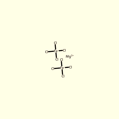 [Cl][Fe-]([Cl])([Cl])[Cl].[Cl][Fe-]([Cl])([Cl])[Cl].[Mg+2]